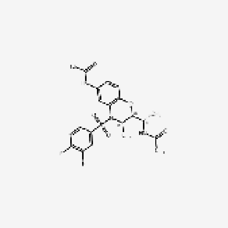 CC(=O)N[C@@H](C)[C@@H]1Oc2ccc(NC(=O)O)cc2N(S(=O)(=O)c2ccc(F)c(F)c2)[C@@H]1C